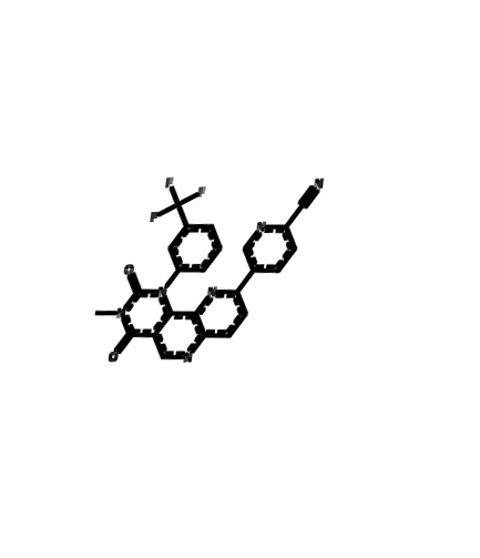 Cn1c(=O)c2cnc3ccc(-c4ccc(C#N)nc4)nc3c2n(-c2cccc(C(F)(F)F)c2)c1=O